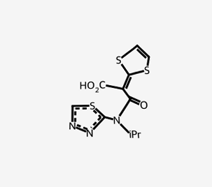 CC(C)N(C(=O)C(C(=O)O)=C1SC=CS1)c1nncs1